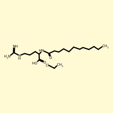 CCCCCCCCCCCC(=O)NC(CCCNC(=N)N)C(=O)O.CCCl